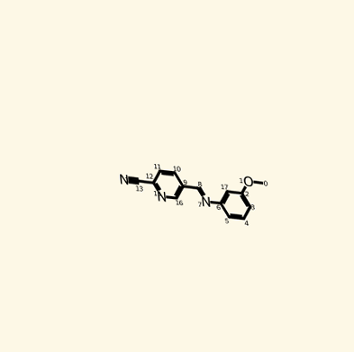 COc1cccc(N=Cc2ccc(C#N)nc2)c1